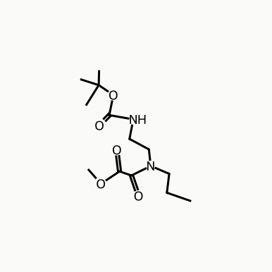 CCCN(CCNC(=O)OC(C)(C)C)C(=O)C(=O)OC